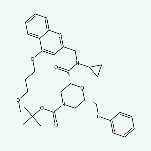 COCCCOc1cc(CN(C(=O)[C@H]2CN(C(=O)OC(C)(C)C)C[C@@H](COc3ccccc3)O2)C2CC2)nc2ccccc12